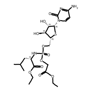 CCOC(=O)COP(=O)(N[C@@H](CC(C)C)C(=O)OCC)OC[C@H]1S[C@@H](n2ccc(N)nc2=O)[C@@H](O)[C@@H]1O